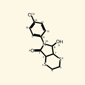 O=C1C2SCCSC2C(O)N1c1ccc(Cl)cc1